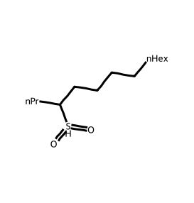 CCCCCCCCCCC(CCC)[SH](=O)=O